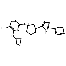 FC(F)(F)c1cnc(N[C@@H]2CCC[C@H](c3ncc(-c4ccccc4)[nH]3)C2)nc1OC1COC1